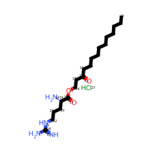 CCCCCCCCCCCC(=O)CCOC(=O)[C@@H](N)CCCNC(=N)N.Cl